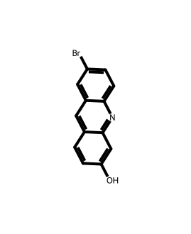 Oc1ccc2cc3cc(Br)ccc3nc2c1